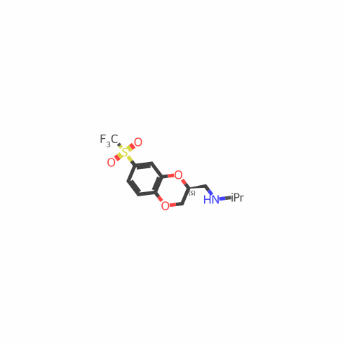 CC(C)NC[C@H]1COc2ccc(S(=O)(=O)C(F)(F)F)cc2O1